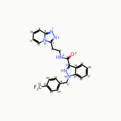 O=C(NCCc1nnc2ccccn12)c1nn(Cc2ccc(C(F)(F)F)cc2)c2ccccc12